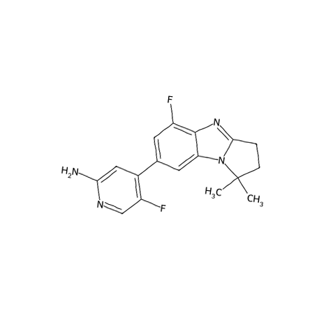 CC1(C)CCc2nc3c(F)cc(-c4cc(N)ncc4F)cc3n21